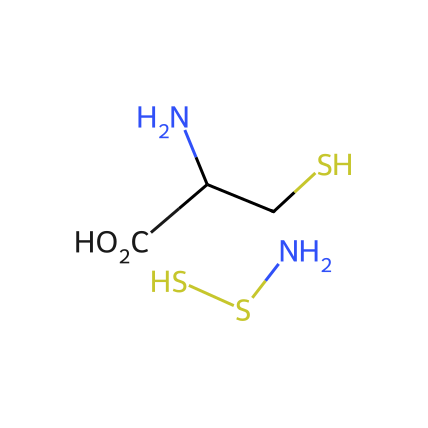 NC(CS)C(=O)O.NSS